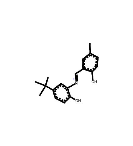 Cc1ccc(O)c(/C=N/c2cc(C(C)(C)C)ccc2O)c1